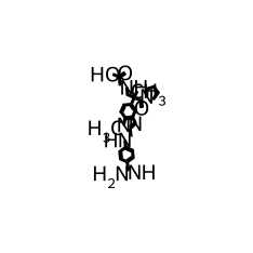 Cn1c(CNc2ccc(C(=N)N)cc2)nc2cc(C(C)(CNCC(=O)O)C(=O)N3CCCC3)ccc21